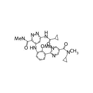 CNC(=O)c1nnc(NC(=O)C2CC2)cc1Nc1cccc(-c2ncc(C(=O)N(C)C3CC3)cn2)c1OC